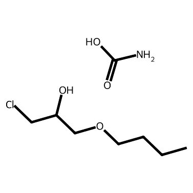 CCCCOCC(O)CCl.NC(=O)O